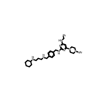 CCCN1CCN(c2cc(NCC(C)C)nc(NCc3ccc(CNCCCNC4CCCCC4)cc3)n2)CC1